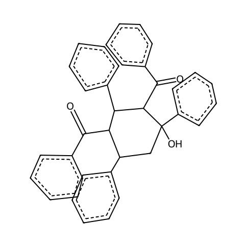 O=C(c1ccccc1)C1C(c2ccccc2)CC(O)(c2ccccc2)C(C(=O)c2ccccc2)C1c1ccccc1